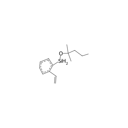 C=Cc1ccccc1[SiH2]OC(C)(C)CCC